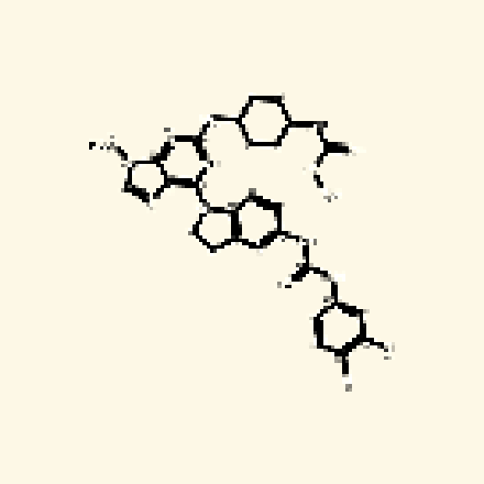 CC(C)(C)OC(=O)NC1CCC(Nc2nc(N3CCc4cc(NC(=O)Nc5ccc(Cl)c(Cl)c5)ccc43)c3ncn(C(=O)O)c3n2)CC1